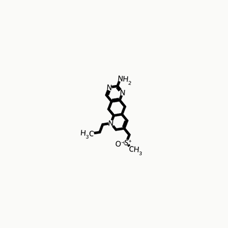 CCCN1CC(C[S+](C)[O-])=CC2Cc3nc(N)ncc3CC21